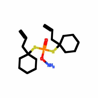 C=CCC1(SP(=O)(ON)SC2(CC=C)CCCCC2)CCCCC1